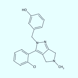 CN1Cc2nn(Cc3cccc(O)c3)c(-c3ccccc3Cl)c2C1